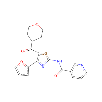 O=C(Nc1nc(-c2ccco2)c(C(=O)C2CCOCC2)s1)c1cccnc1